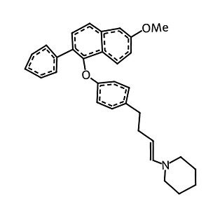 COc1ccc2c(Oc3ccc(CCC=CN4CCCCC4)cc3)c(-c3ccccc3)ccc2c1